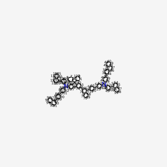 c1ccc(C2(c3ccccc3)c3ccc(-c4cc(-c5ccc(-c6ccc(N(c7ccc(-c8ccc9c(ccc%10ccccc%109)c8)cc7)c7cccc(-c8cccc9ccccc89)c7)cc6)cc5)c5ccccc5c4)cc3-c3ccc(N(c4ccc(-c5ccc(-c6cccc7ccccc67)cc5)cc4)c4cccc(-c5cccc6ccccc56)c4)cc32)cc1